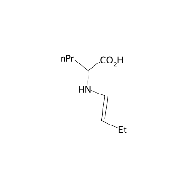 CCC=CNC(CCC)C(=O)O